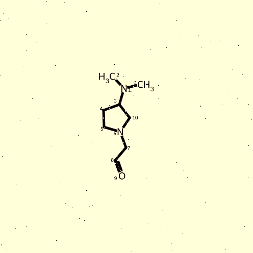 CN(C)C1CCN(C[C]=O)C1